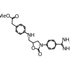 COC(=O)Cc1ccc(NCC2CN(c3ccc(C(=N)N)cc3)C(=O)O2)cc1